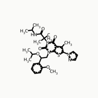 COc1ccccc1C(Cn1c(=O)n(C(C)(C)C(=O)NC(C)C)c(=O)c2c(C)c(-n3cccn3)sc21)OC(C)C